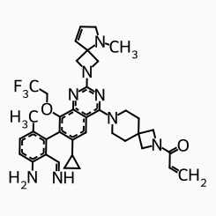 C=CC(=O)N1CC2(CCN(c3nc(N4CC5(C=CCN5C)C4)nc4c(OCC(F)(F)F)c(-c5c(C)ccc(N)c5C=N)c(C5CC5)cc34)CC2)C1